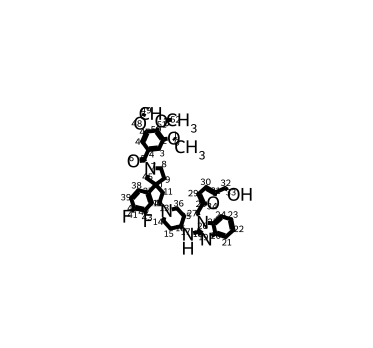 COc1cc(C(=O)N2CCC(CCN3CCC(Nc4nc5ccccc5n4Cc4ccc(CO)o4)CC3)(c3ccc(F)c(F)c3)C2)cc(OC)c1OC